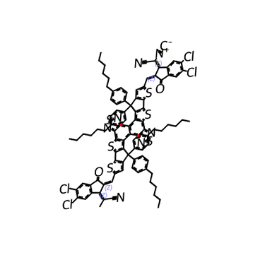 [C-]#[N+]/C(C#N)=C1/C(=C/c2cc3c(s2)-c2sc4c5nsnc5c5c6c7c(sc6c6nsnc6c5c4c2C3(c2ccc(CCCCCC)cc2)c2ccc(CCCCCC)cc2)-c2sc(/C=C3\C(=O)c4cc(Cl)c(Cl)cc4\C3=C(/C)C#N)cc2C7(c2ccc(CCCCCC)cc2)c2ccc(CCCCCC)cc2)C(=O)c2cc(Cl)c(Cl)cc21